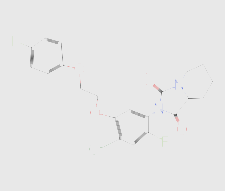 O=C1C2CCCCN2C(=O)N1c1cc(OCCOc2ccc(F)cc2)c(Cl)cc1F